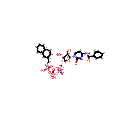 O=C(Nc1ccn([C@@H]2O[C@H](COP(=O)(O)OP(=O)(O)OP(=O)(O)OCc3ccc4ccccc4c3)[C@H](O)C2O)c(=O)n1)c1ccccc1